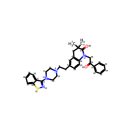 CC1(C)Cc2cc(CCN3CCN(c4nsc5ccccc45)CC3)ccc2N(CC(=O)c2ccccc2)C1=O